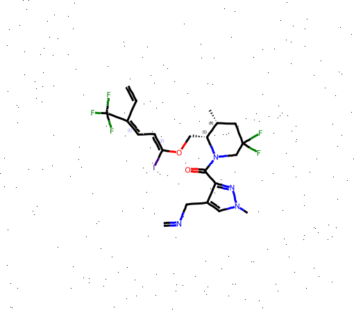 C=C/C(=C\C=C(/I)OC[C@@H]1[C@H](C)CC(F)(F)CN1C(=O)c1nn(C)cc1CN=C)C(F)(F)F